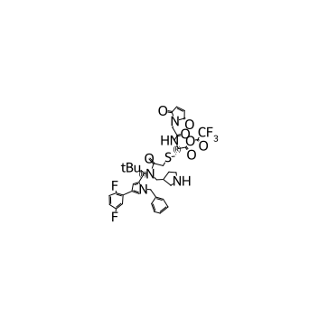 CC(C)(C)[C@H](c1cc(-c2cc(F)ccc2F)cn1Cc1ccccc1)N(CC1CCNC1)C(=O)CSC[C@H](NC(=O)CN1C(=O)C=CC1=O)C(=O)OC(=O)C(F)(F)F